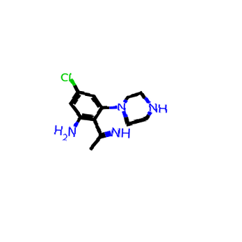 CC(=N)c1c(N)cc(Cl)cc1N1CCNCC1